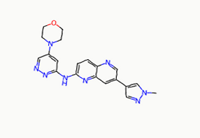 Cn1cc(-c2cnc3ccc(Nc4cc(N5CCOCC5)cnn4)nc3c2)cn1